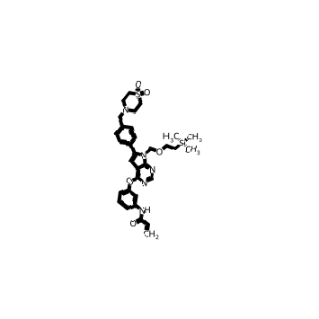 C=CC(=O)Nc1cccc(Oc2ncnc3c2cc(-c2ccc(CN4CCS(=O)(=O)CC4)cc2)n3COCC[Si](C)(C)C)c1